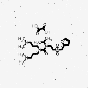 CC(C)N(CCS(=O)(=O)Cc1ccco1)C(=O)N(CCCN(C)C)CCCN(C)C.O=C(O)C(=O)O